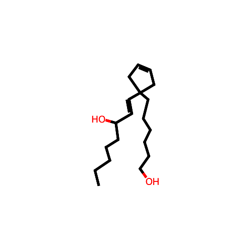 CCCCCC(O)/C=C/C1(CCCCCCO)CC=CC1